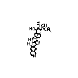 CN(C)[C@H]1C[C@@]23CC[C@]4(O2)C(=CC[C@]2(C)C(c5ccc6ccncc6c5)CC[C@@]42C)C=C3[C@@H](O)[C@@H]1O